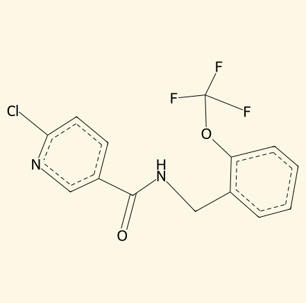 O=C(NCc1ccccc1OC(F)(F)F)c1ccc(Cl)nc1